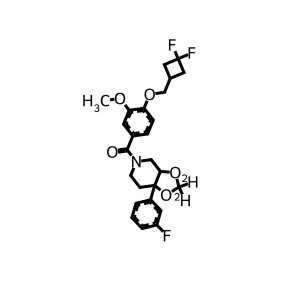 [2H]C1([2H])OC2CN(C(=O)c3ccc(OCC4CC(F)(F)C4)c(OC)c3)CCC2(c2cccc(F)c2)O1